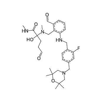 CNC(=O)C(O)(CCC=O)N(C)Cc1c(C=O)cccc1NCc1ccc(CN2CC(C)(C)OC(C)(C)C2)cc1F